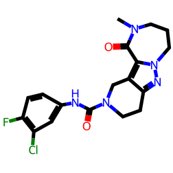 CN1CCCn2nc3c(c2C1=O)CN(C(=O)Nc1ccc(F)c(Cl)c1)CC3